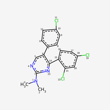 CN(C)c1ncc(-c2ccc(Cl)cc2)c(-c2ccc(Cl)cc2Cl)n1